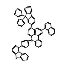 c1ccc(C2(c3ccccc3)c3ccccc3-c3ccc(-c4ccc(N(c5ccc(-c6cccc7sc8ccccc8c67)cc5)c5ccccc5-c5cccc(-c6cccc7ccccc67)c5)cc4)cc32)cc1